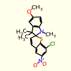 COc1ccc2c(c1)C(C)(C)C1(C=Cc3cc([N+](=O)[O-])cc(Cl)c3S1)N2C